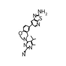 Cc1nc(C#N)nc(N2CCOc3ccc(-c4cnc5sc(N)nc5c4)cc3C2)c1C(C)C